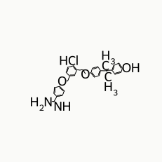 CC(C)(c1ccc(O)cc1)c1ccc(OCc2cccc(COc3ccc(C(=N)N)cc3)c2)cc1.Cl